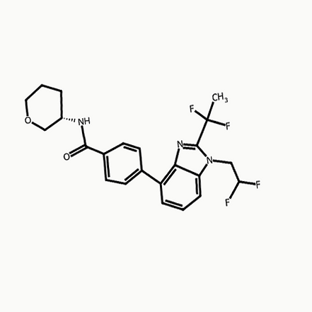 CC(F)(F)c1nc2c(-c3ccc(C(=O)N[C@H]4CCCOC4)cc3)cccc2n1CC(F)F